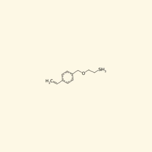 C=Cc1ccc(COCC[SiH3])cc1